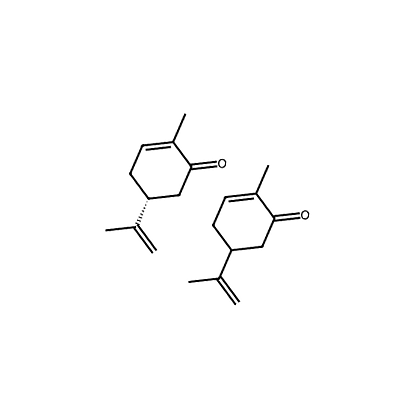 C=C(C)C1CC=C(C)C(=O)C1.C=C(C)[C@@H]1CC=C(C)C(=O)C1